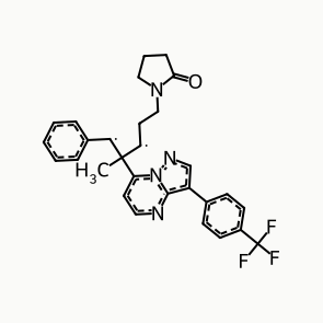 CC([CH]CCN1CCCC1=O)([CH]c1ccccc1)c1ccnc2c(-c3ccc(C(F)(F)F)cc3)cnn12